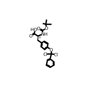 CC(C)(C)OC(=O)N[C@@H](Cc1ccc(OC(Cl)(Cl)c2ccccc2)cc1)C(=O)O